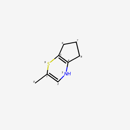 CC1=CNC2=C(CCC2)S1